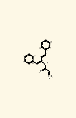 C=CC(=O)OC(C=Cc1ccccc1)=Cc1ccccc1